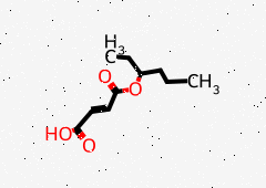 CCCC(CC)OC(=O)C=CC(=O)O